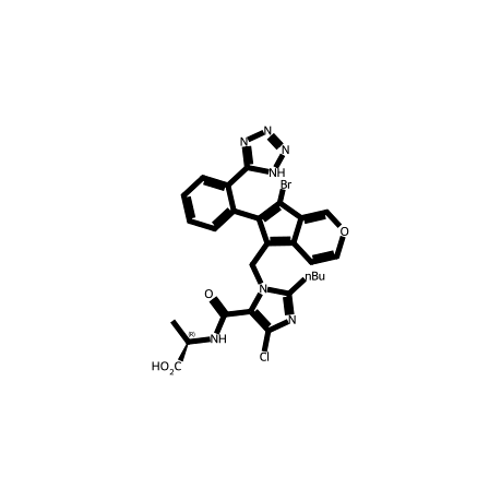 CCCCc1nc(Cl)c(C(=O)N[C@H](C)C(=O)O)n1Cc1c2ccocc-2c(Br)c1-c1ccccc1-c1nnn[nH]1